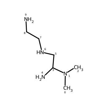 CN(C)C(N)CNCCN